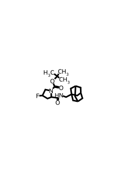 CC(C)(C)OC(=O)N1CC(F)CC1C(=O)NCC12CC3CC(CC(C3)C1)C2